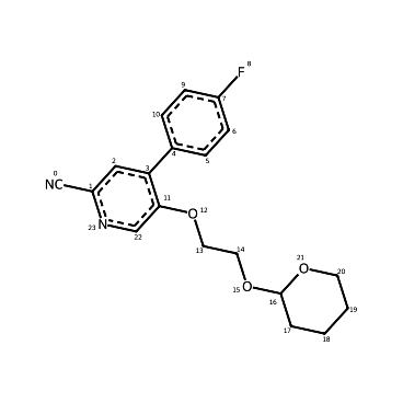 N#Cc1cc(-c2ccc(F)cc2)c(OCCOC2CCCCO2)cn1